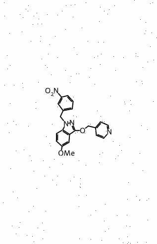 COc1ccc2c(c1)c(OCc1ccncc1)nn2Cc1cccc([N+](=O)[O-])c1